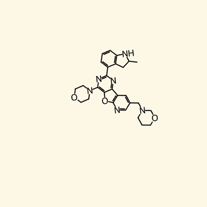 CC1Cc2c(cccc2-c2nc(N3CCOCC3)c3oc4ncc(CN5CCCOC5)cc4c3n2)N1